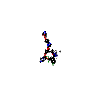 Cc1c(Cl)c2c(Cl)c(C)c1-c1c(-c3ccc(F)cc3)sc3ncnc(c13)O[C@@H](C(=O)O)Cc1cc(ccc1OCc1ccnc(-c3ccc(OC[C@@H]4CN(C)CCO4)cc3)n1)OC[C@@H](CN1CCN(C)CC1)O2